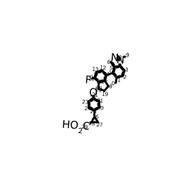 Cc1ccc2c(cnn2C)c1-c1ccc(F)c2c1CC[C@H]2Oc1ccc(C2CC2C(=O)O)cc1